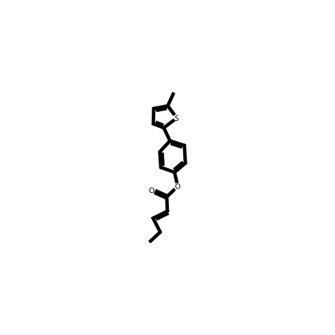 CCC=CC(=O)Oc1ccc(-c2ccc(C)s2)cc1